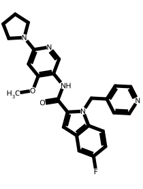 COc1cc(N2CCCC2)ncc1NC(=O)c1cc2cc(F)ccc2n1Cc1ccncc1